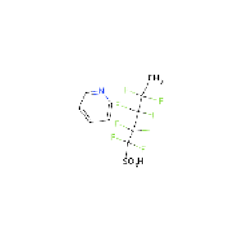 CC(F)(F)C(F)(F)C(F)(F)C(F)(F)S(=O)(=O)O.c1ccncc1